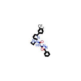 O=C(Nc1nnc(-c2ccccc2)o1)N1c2nc(-c3cccc(C(F)(F)F)c3)ccc2N2CCC21